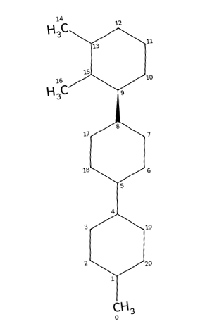 CC1CCC(C2CCC([C@@H]3CCCC(C)C3C)CC2)CC1